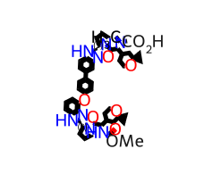 COC(=O)NC(C(=O)N1CCC[C@H]1c1nc2c(Oc3ccc(-c4ccc5[nH]c([C@@H]6CCCN6C(=O)C(C6CCOC7(CC7)C6)N(C)C(=O)O)nc5c4)cc3)cccc2[nH]1)C1CCOC2(CC2)C1